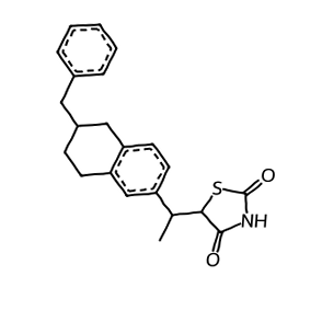 CC(c1ccc2c(c1)CCC(Cc1ccccc1)C2)C1SC(=O)NC1=O